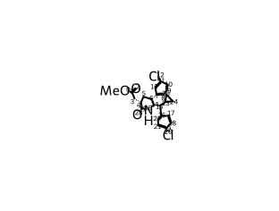 COC(=O)C[C@@H]1C[C@H](c2cccc(Cl)c2)[C@@H](C(c2ccc(Cl)cc2)C2CC2)NC1=O